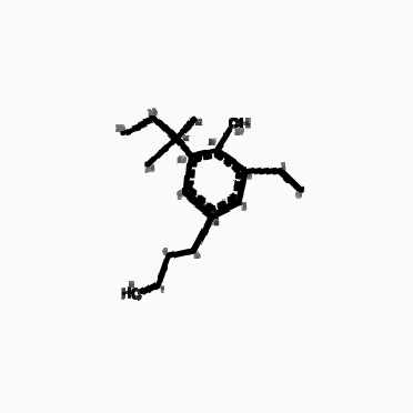 CCc1cc(CCCO)cc(C(C)(C)CC)c1O